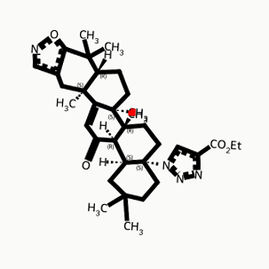 CCOC(=O)c1cn([C@]23CCC(C)(C)C[C@H]2[C@H]2C(=O)C=C4[C@@]5(C)Cc6cnoc6C(C)(C)[C@@H]5CC[C@@]4(C)[C@]2(C)CC3)nn1